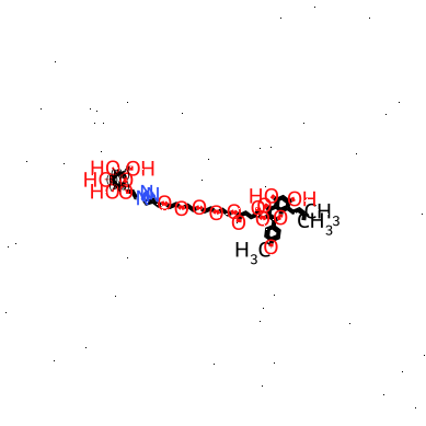 COc1ccc(-c2oc3c(CC=C(C)C)c(O)cc(O)c3c(=O)c2OC(=O)CCC(=O)OCCOCCOCCOCCOCc2cn(CCO[C@H]3O[C@@H](CO)[C@H](O)[C@@H](O)[C@@H]3O)nn2)cc1